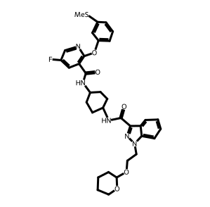 CSc1cccc(Oc2ncc(F)cc2C(=O)NC2CCC(NC(=O)c3nn(CCOC4CCCCO4)c4ccccc34)CC2)c1